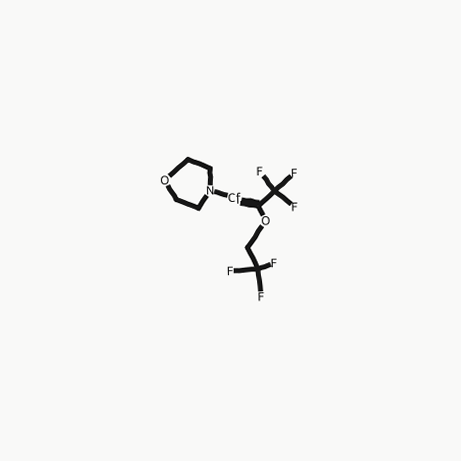 FC(F)(F)CO[C](=[Cf][N]1CCOCC1)C(F)(F)F